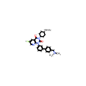 CC(=O)N[C@H]1CC[C@@H](n2c(=O)c3cc(F)cnc3n(-c3cccc(-c4ccc(CN(C)C)cc4)c3)c2=O)CC1